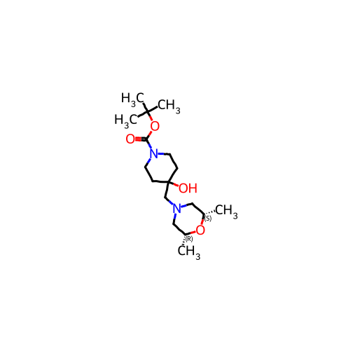 C[C@@H]1CN(CC2(O)CCN(C(=O)OC(C)(C)C)CC2)C[C@H](C)O1